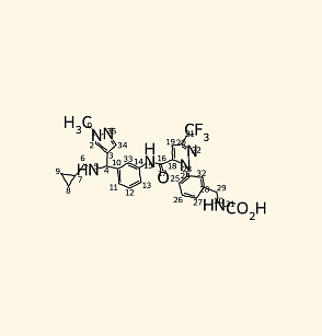 Cn1cc(C(NCC2CC2)c2cccc(NC(=O)c3cc(C(F)(F)F)nn3-c3cccc(CNC(=O)O)c3)c2)cn1